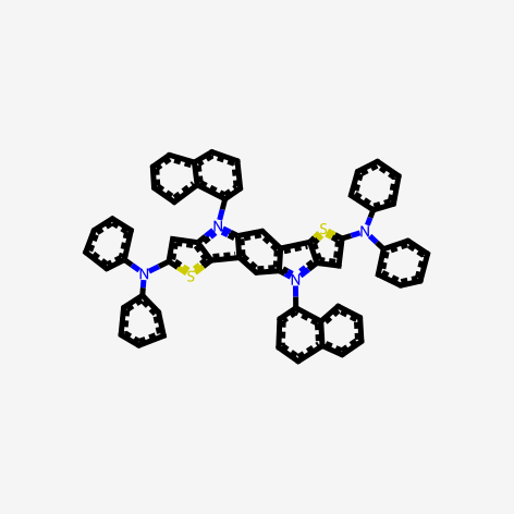 c1ccc(N(c2ccccc2)c2cc3c(s2)c2cc4c(cc2n3-c2cccc3ccccc23)c2sc(N(c3ccccc3)c3ccccc3)cc2n4-c2cccc3ccccc23)cc1